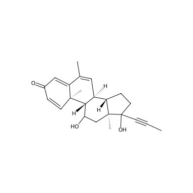 CC#CC1(O)CC[C@H]2[C@@H]3C=C(C)C4=CC(=O)C=C[C@]4(C)[C@H]3C(O)C[C@@]21C